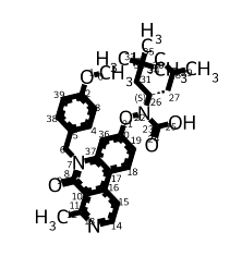 COc1ccc(Cn2c(=O)c3c(C)nccc3c3ccc(ON(C(=O)O)[C@@H](CC(C)C)CC(C)(C)C)cc32)cc1